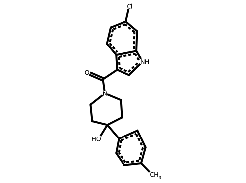 Cc1ccc(C2(O)CCN(C(=O)c3c[nH]c4cc(Cl)ccc34)CC2)cc1